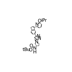 CC(C)Oc1cccc(C2=CCc3ccc(-c4nnc(N5CC[C@H](NC(=O)OC(C)(C)C)C5)s4)cc32)n1